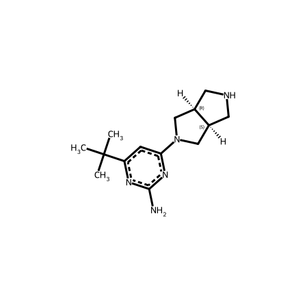 CC(C)(C)c1cc(N2C[C@H]3CNC[C@H]3C2)nc(N)n1